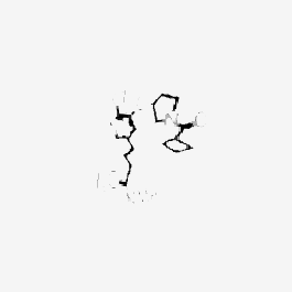 CN[C@@H](C)C/C=C/c1cnc(Cl)c(O[C@@H]2CCN(C(=O)C3CCC3)C2)c1